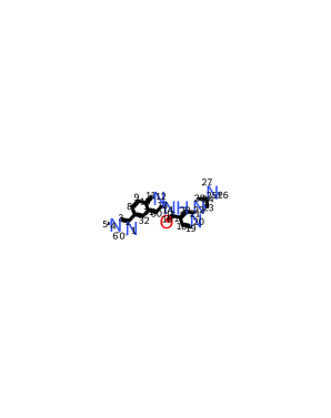 C=N/C(=C\N(C)C)c1ccc2cnc(NC(=O)c3ccnc(N4CC(N(C)C)C4)c3)cc2c1